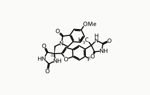 COc1ccc2c(c1)C(=O)N(C[C@@]1(c3cc4cc(C5(C)NC(=O)NC5=O)c(F)cc4o3)NC(=O)NC1=O)C2